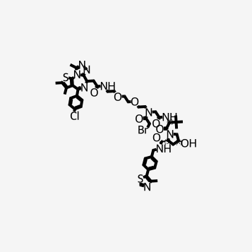 Cc1ncsc1-c1ccc(CNC(=O)[C@@H]2C[C@@H](O)CN2C(=O)[C@@H](NC(=O)CN(CCOCCOCCNC(=O)CC2N=C(c3ccc(Cl)cc3)c3c(sc(C)c3C)-n3c(C)nnc32)C(=O)CBr)C(C)(C)C)cc1